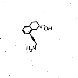 NCC#Cc1cccc2c1C[C@@H](CO)CC2